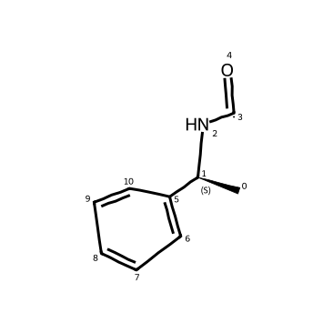 C[C@H](N[C]=O)c1ccccc1